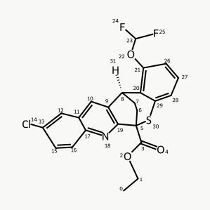 CCOC(=O)C12CC[C@@H](c3cc4cc(Cl)ccc4nc31)c1c(OC(F)F)cccc1S2